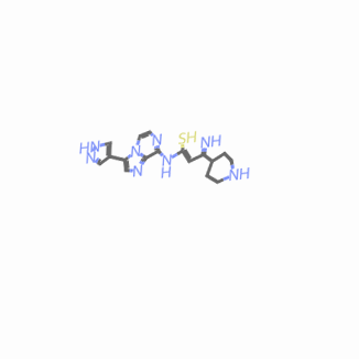 N=C(/C=C(\S)Nc1nccn2c(-c3cn[nH]c3)cnc12)C1CCNCC1